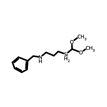 COC(OC)[SiH2]CCCNCc1ccccc1